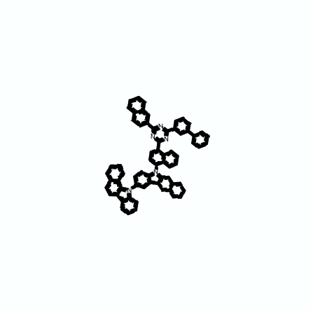 c1ccc(-c2cccc(-c3nc(-c4ccc5ccccc5c4)nc(-c4ccc(-n5c6ccc(-n7c8ccccc8c8ccc9ccccc9c87)cc6c6cc7ccccc7cc65)c5ccccc45)n3)c2)cc1